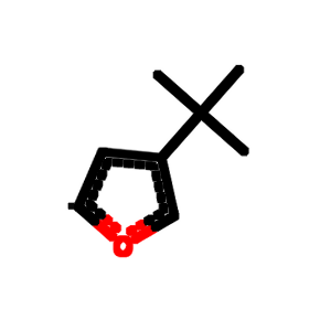 CC(C)(C)c1c[c]oc1